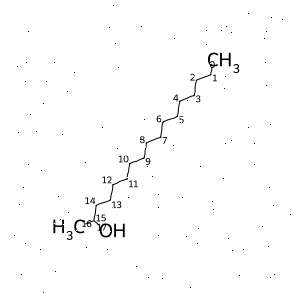 CCCCCCCCCCCCCCCC(C)O